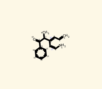 C=C/C=C(\C=C/N)C(C)C(=O)c1ccccc1